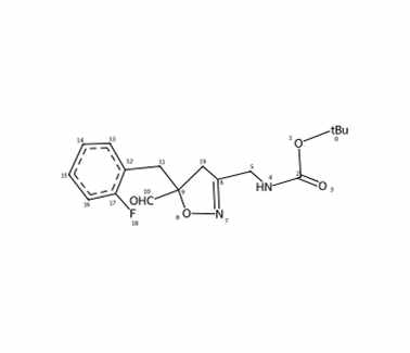 CC(C)(C)OC(=O)NCC1=NOC(C=O)(Cc2ccccc2F)C1